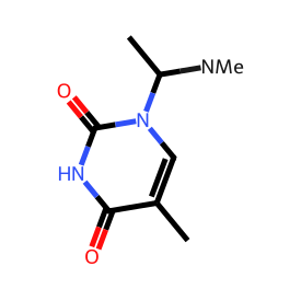 CNC(C)n1cc(C)c(=O)[nH]c1=O